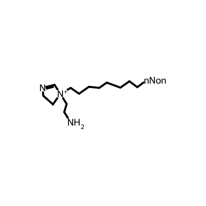 CCCCCCCCCCCCCCCCC[N+]1(CCN)C=NCC1